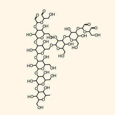 CC1OC(CO)C(O)C(OC2OC(CO)C(O)C(OC3OC(CO)C(O)C(OC4OC(COC5OC(CO)C(O)C(OC6OC(CO)C(O)C(OC(C=O)OC(C=O)CO)[C@@H]6O)C5O)C(O)C(OC5OC(CO)C(O)C(OC(C=O)OC(C=O)CO)C5O)C4O)C3O)C2O)C1O